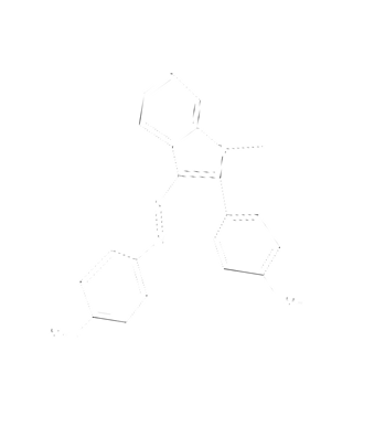 COc1ccc(N=Nc2c(-c3ccc(OC)cc3)n(C)c3ccccc23)cc1